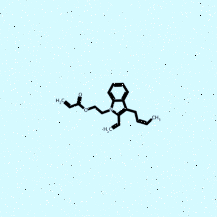 C=CC(=O)OCCn1c(C=C)c(C/C=C\C)c2ccccc21